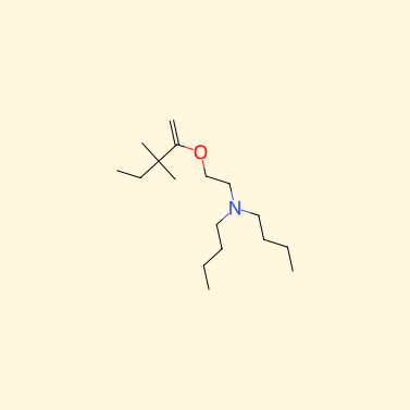 C=C(OCCN(CCCC)CCCC)C(C)(C)CC